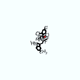 Cc1ccc2[nH]cc(CC(NS(=O)(=O)c3c(Cl)cc(Cl)cc3Cl)C(F)(F)F)c2c1